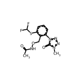 CC(=O)NOCc1c(SC(F)F)cccc1-n1nnn(C)c1=O